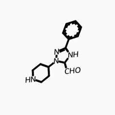 O=CC1NC(c2ccccc2)=NN1C1CCNCC1